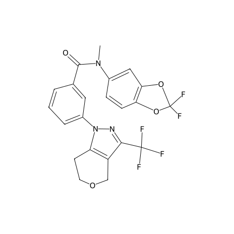 CN(C(=O)c1cccc(-n2nc(C(F)(F)F)c3c2CCOC3)c1)c1ccc2c(c1)OC(F)(F)O2